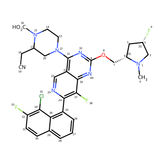 CN1C[C@@H](F)C[C@H]1COc1nc(N2CCN(C(=O)O)C(CC#N)C2)c2cnc(-c3cccc4ccc(F)c(Cl)c34)c(F)c2n1